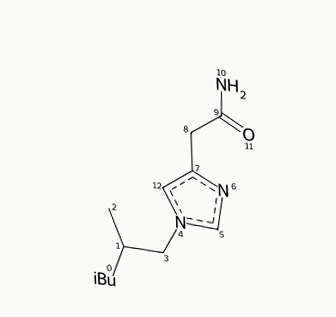 CCC(C)C(C)Cn1cnc(CC(N)=O)c1